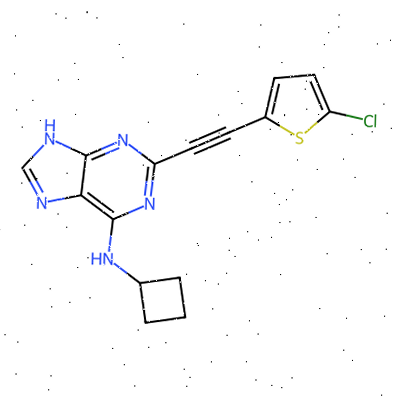 Clc1ccc(C#Cc2nc(NC3CCC3)c3nc[nH]c3n2)s1